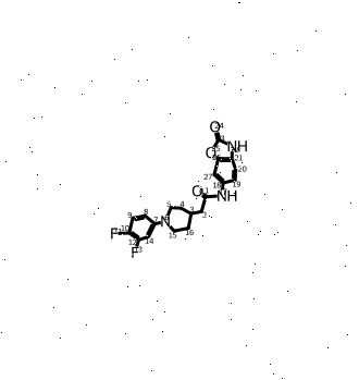 O=C(CC1CCN(c2ccc(F)c(F)c2)CC1)Nc1ccc2[nH]c(=O)oc2c1